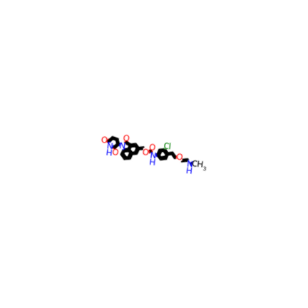 CNCCOCCc1ccc(NC(=O)OCc2cc3c4c(cccc4c2)N(C2CCC(=O)NC2=O)C3=O)cc1Cl